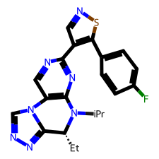 CC[C@@H]1c2nncn2-c2cnc(-c3cnsc3-c3ccc(F)cc3)nc2N1C(C)C